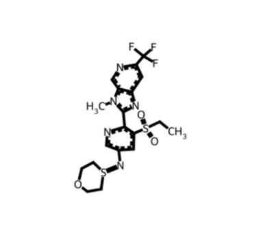 CCS(=O)(=O)c1cc(N=S2CCOCC2)cnc1-c1nc2cc(C(F)(F)F)ncc2n1C